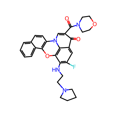 O=C(c1cn2c3c(c(NCCN4CCCC4)c(F)cc3c1=O)Oc1c-2ccc2ccccc12)N1CCOCC1